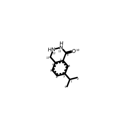 CC(C)c1ccc2c(c1)C(=O)NNC2